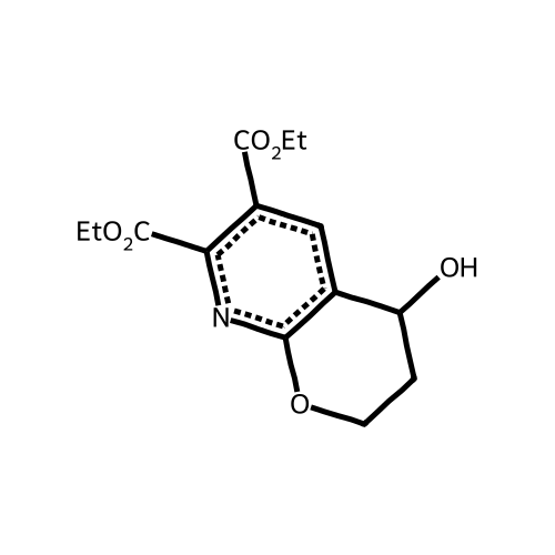 CCOC(=O)c1cc2c(nc1C(=O)OCC)OCCC2O